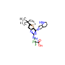 CC(C)(C)c1cc2nc(N)nc(N3CC4CCCNC4C3)c2s1.O=C(O)C(F)(F)F